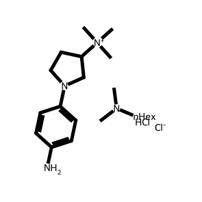 CCCCCCN(C)C.C[N+](C)(C)C1CCN(c2ccc(N)cc2)C1.Cl.[Cl-]